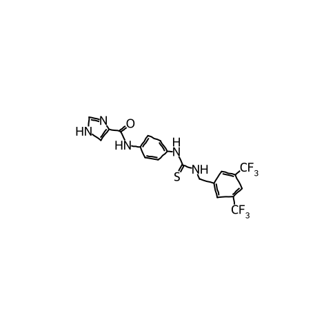 O=C(Nc1ccc(NC(=S)NCc2cc(C(F)(F)F)cc(C(F)(F)F)c2)cc1)c1c[nH]cn1